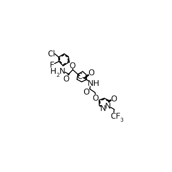 NC(=O)C(Oc1ccc(Cl)c(F)c1)C12CCC(NC(=O)COc3cnn(CC(F)(F)F)c(=O)c3)(CC1)C(=O)C2